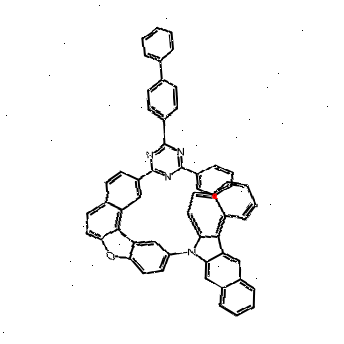 c1ccc(-c2ccc(-c3nc(-c4ccccc4)nc(-c4ccc5ccc6oc7ccc(-n8c9cc%10ccccc%10cc9c9c%10ccccc%10ccc98)cc7c6c5c4)n3)cc2)cc1